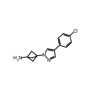 NC12CC(n3cc(-c4ccc(Cl)cc4)cn3)(C1)C2